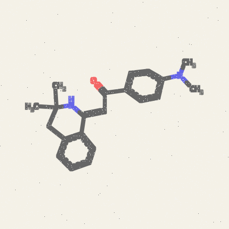 CN(C)c1ccc(C(=O)C=C2NC(C)(C)Cc3ccccc32)cc1